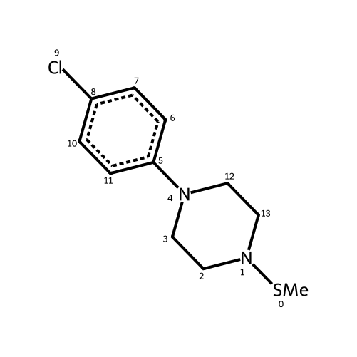 CSN1CCN(c2ccc(Cl)cc2)CC1